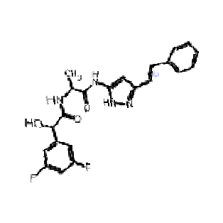 CC(NC(=O)C(O)c1cc(F)cc(F)c1)C(=O)Nc1cc(/C=C/c2ccccc2)n[nH]1